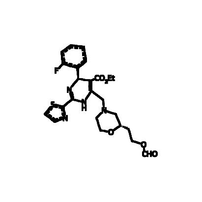 CCOC(=O)C1=C(CN2CCO[C@@H](CCOC=O)C2)NC(c2nccs2)=N[C@H]1c1ccccc1F